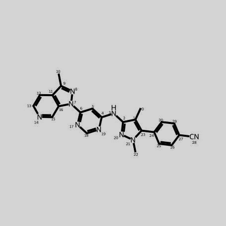 Cc1c(Nc2cc(-n3nc(C)c4ccncc43)ncn2)nn(C)c1-c1ccc(C#N)cc1